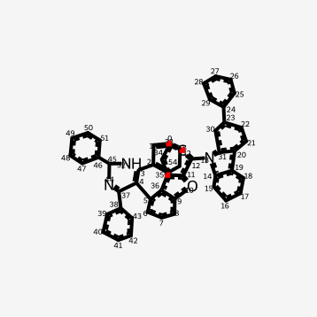 C1=CC(C2=C(c3cccc4oc5c(-n6c7ccccc7c7ccc(-c8ccccc8)cc76)cccc5c34)C(c3ccccc3)=NC(c3ccccc3)N2)=CCC1